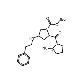 CC(C)(C)OC(=O)N1CC(NCCc2ccccc2)CC1C(=O)N1CCC[C@H]1C#N